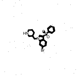 O=S(=O)(c1ccccc1)c1cn(CC2CCCNC2)c2cc(Br)ccc12